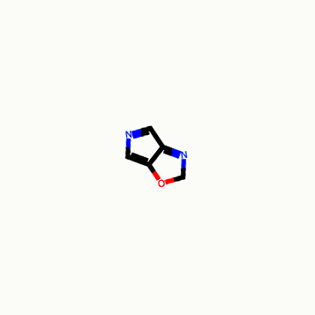 C1=NC=C2OCN=C12